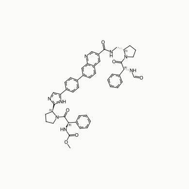 COC(=O)N[C@@H](C(=O)N1CCC[C@H]1c1ncc(-c2ccc(-c3ccc4cc(C(=O)NC[C@@H]5CCCN5C(=O)[C@H](NC=O)c5ccccc5)cnc4c3)cc2)[nH]1)c1ccccc1